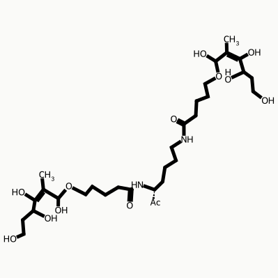 CC(=O)[C@@H](CCCCNC(=O)CCCCOC(O)/C(C)=C(/O)C(O)CCO)NC(=O)CCCCOC(O)/C(C)=C(/O)C(O)CCO